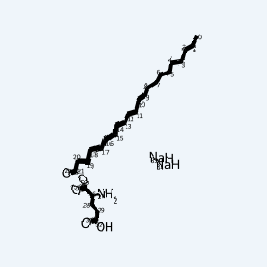 CCCCCCCCC/C=C/C=C/C=C/C=C/C=C/C=C/C(=O)OC(=O)[C@@H](N)CCC(=O)O.[NaH].[NaH]